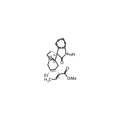 C/C=C(/C(=O)OC)[C@H]1C[C@@H]2N(CC[C@]23C(=O)N(CCC)c2ccccc23)C[C@H]1CC